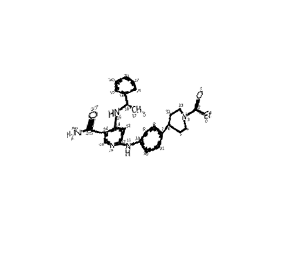 CCC(=O)N1CCC(c2ccc(Nc3cc(N[C@H](C)c4ccccc4)c(C(N)=O)cn3)cc2)CC1